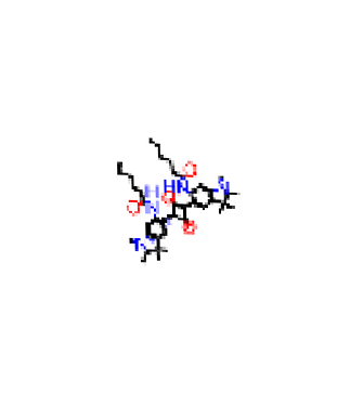 CCCCCC(=O)Nc1cc2c(cc1C1=C([O-])/C(=c3/cc4c(cc3NC(=O)CCCCC)=[N+](C)C(C)C4(C)C)C1=O)C(C)(C)C(C)N2C